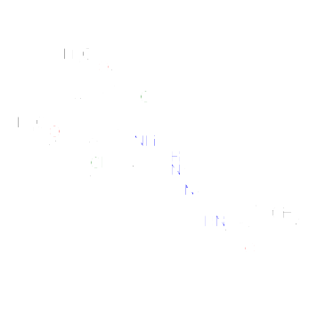 C=CC(=O)Nc1ccccc1-c1cc(CNc2c(Cl)c(OC)cc(OC)c2Cl)[nH]n1